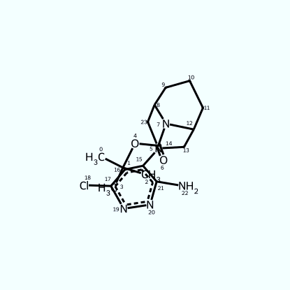 CC(C)(C)OC(=O)N1C2CCCC1CN(c1cc(Cl)nnc1N)C2